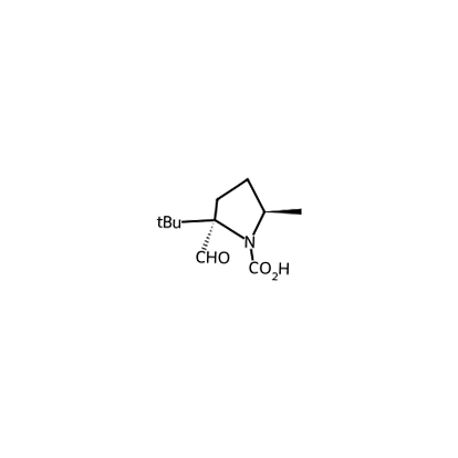 C[C@@H]1CC[C@](C=O)(C(C)(C)C)N1C(=O)O